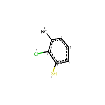 N#Cc1cccc(S)c1Cl